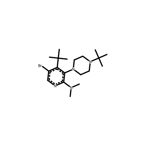 CN(C)c1ncc(Br)c(C(C)(C)C)c1N1CCN(C(C)(C)C)CC1